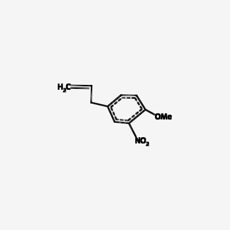 C=CCc1ccc(OC)c([N+](=O)[O-])c1